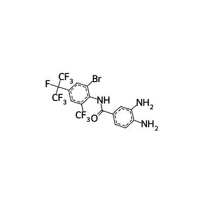 Nc1ccc(C(=O)Nc2c(Br)cc(C(F)(C(F)(F)F)C(F)(F)F)cc2C(F)(F)F)cc1N